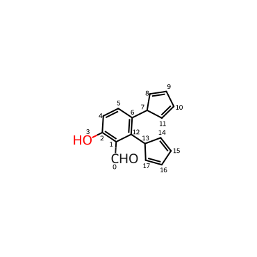 O=Cc1c(O)ccc(C2C=CC=C2)c1C1C=CC=C1